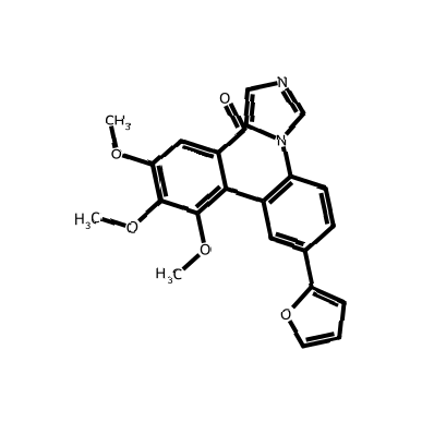 COc1cc(C=O)c(-c2cc(-c3ccco3)ccc2-n2ccnc2)c(OC)c1OC